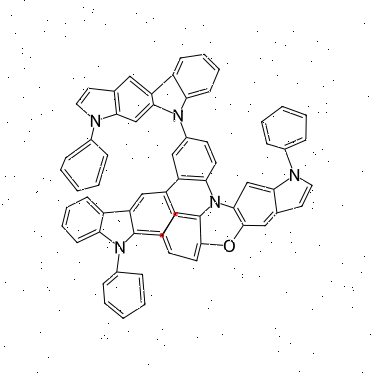 c1ccc(-n2ccc3cc4c(cc32)N(c2ccc(-n3c5ccccc5c5cc6ccn(-c7ccccc7)c6cc53)cc2-c2ccc3c(c2)c2ccccc2n3-c2ccccc2)c2ccccc2O4)cc1